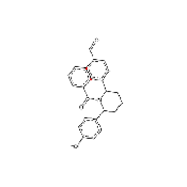 COc1ccc(C2CCCC(c3ccc(C=O)cc3)N2C(=O)c2ccccc2)cc1